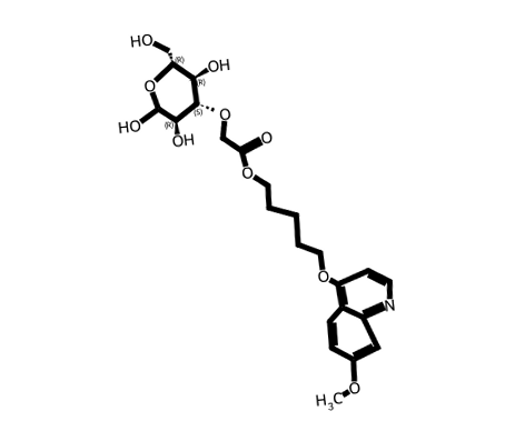 COc1ccc2c(OCCCCCOC(=O)CO[C@H]3[C@H](O)[C@@H](CO)OC(O)[C@@H]3O)ccnc2c1